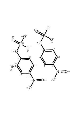 O=[N+]([O-])c1ccc(OP(=O)([O-])[O-])cc1.O=[N+]([O-])c1ccc(OP(=O)([O-])[O-])cc1.[Th+4]